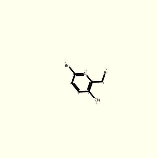 N#Cc1ccc(Br)nc1CBr